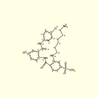 CS(=O)(=O)c1ccc(C(=O)Nc2ccc(Cl)cc2C(=O)Nc2ccc(Cl)cn2)c(NCCCCCCN)c1